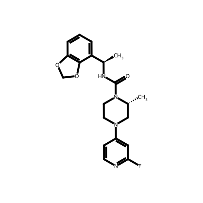 C[C@@H]1CN(c2ccnc(F)c2)CCN1C(=O)N[C@H](C)c1cccc2c1OCO2